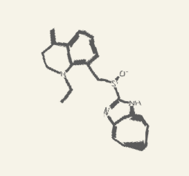 C=C1CCN(CC)c2c(C[S+]([O-])c3nc4ccccc4[nH]3)cccc21